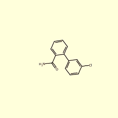 NC(=O)c1ccccc1-c1cccc(Cl)c1